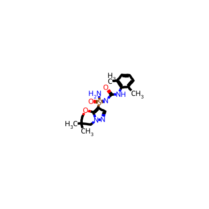 Cc1cccc(C)c1NC(=O)N=S(N)(=O)c1cnn2c1OCC(C)(C)C2